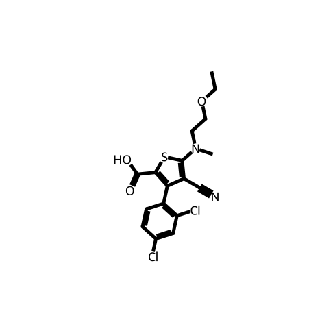 CCOCCN(C)c1sc(C(=O)O)c(-c2ccc(Cl)cc2Cl)c1C#N